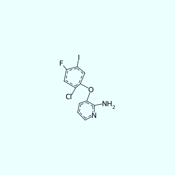 Nc1ncccc1Oc1cc(I)c(F)cc1Cl